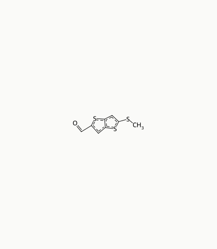 CSc1cc2sc(C=O)cc2s1